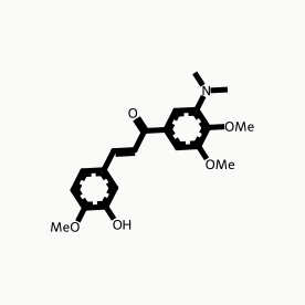 COc1ccc(/C=C/C(=O)c2cc(OC)c(OC)c(N(C)C)c2)cc1O